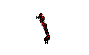 Nc1ncnc2c1c(-c1ccc(Oc3ccccc3)cc1)nn2[C@@H]1CCCN(C(=O)CCCN2CCN(C(=O)COCCOCCOCCOCCOCCSc3cccc4c3CN(C3CCC(=O)NC3=O)C4=O)CC2)C1